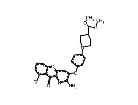 COC(OC)C1CCN(c2ccc(Oc3cc4oc5cccc(Cl)c5c(=O)c4nc3N)cc2)CC1